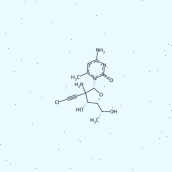 Cc1cc(N)nc(=O)n1[C@@H]1O[C@H]([C@@H](C)O)[C@H](O)C1(N)C#CCl